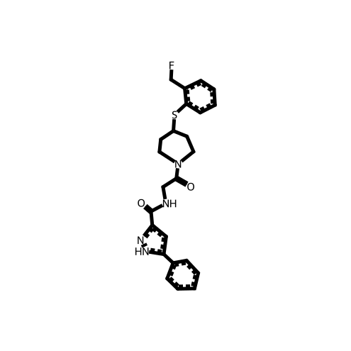 O=C(NCC(=O)N1CCC(Sc2ccccc2CF)CC1)c1cc(-c2ccccc2)[nH]n1